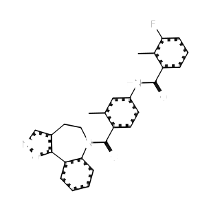 Cc1cc(NC(=O)c2cccc(F)c2C)ccc1C(=O)N1CCc2cnoc2-c2ccccc21